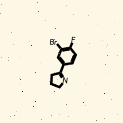 Fc1ccc(C2=NCCC2)cc1Br